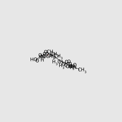 CCCCCNC(=O)NCC(=O)O[C@H]1CC(C)(C)C(/C=C/C(C)=C/C=C/C(C)=C/C=C/C=C(C)/C=C/C=C(C)/C=C/C2=C(C)C(=O)[C@@H](OC(=O)CNC(=O)NCCCC(=O)O)CC2(C)C)=C(C)C1=O